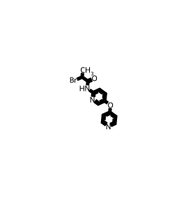 CC(Br)C(=O)Nc1ccc(Oc2ccncc2)cn1